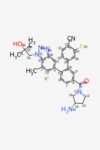 Cc1c(F)c(-c2ccc(C(=O)N3CCC(N)C3)cc2-c2ccc(C#N)c(F)c2)cc2nnn(CC(C)(C)O)c12